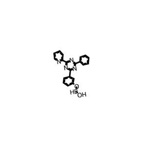 OBOc1cccc(-c2nc(-c3ccccc3)nc(-c3ccccn3)n2)c1